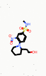 CNS(=O)(=O)c1ccc(N2CCCCC2CCO)c([N+](=O)[O-])c1